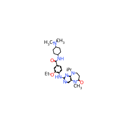 CCOc1cc(C(=O)NC2CCC(N(C)C)CC2)ccc1Nc1ncc2c(n1)N(C(C)C)CCC(=O)N2C